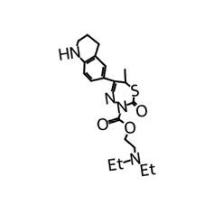 CCN(CC)CCOC(=O)N1N=C(c2ccc3c(c2)CCCN3)C(C)SC1=O